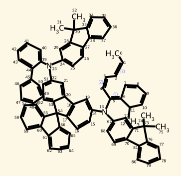 C\C=C/C=C\C(=C1/C=CC=CC1C)N(c1ccc2c(c1)-c1cc(N(c3ccc4c(c3)C(C)(C)c3ccccc3-4)c3ccccc3-c3ccccc3)ccc1C21c2ccccc2-c2ccccc21)c1ccc2c(c1)C(C)(C)c1ccccc1-2